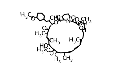 CO[C@H]1CCCC(C[C@@H](C)[C@@H]2CC(=O)[C@H](C)/C=C(\C)[C@@H](O)[C@@H](OC)C(=O)[C@H](C)C[C@H](C)/C=C/C=C/C=C(\C)CC[C@@H]3CC[C@@H](C)[C@@](O)(O3)C(=O)C(=O)N3CCCCC3C(=O)O2)C1